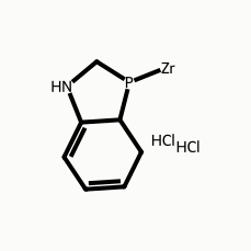 Cl.Cl.[Zr][P]1CNC2=CC=CCC21